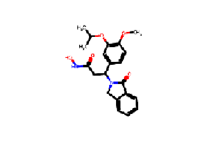 COc1ccc(C(CC(=O)NO)N2Cc3ccccc3C2=O)cc1OC(C)C